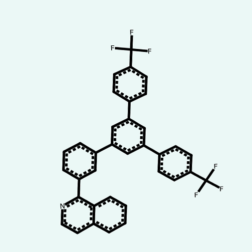 FC(F)(F)c1ccc(-c2cc(-c3ccc(C(F)(F)F)cc3)cc(-c3cccc(-c4nccc5ccccc45)c3)c2)cc1